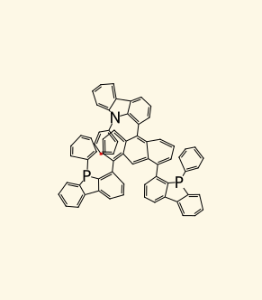 c1ccc(-n2c3ccccc3c3cccc(-c4c5cccc(-c6cccc7c8ccccc8p(-c8ccccc8)c67)c5cc5c(-c6cccc7c8ccccc8p(-c8ccccc8)c67)cccc45)c32)cc1